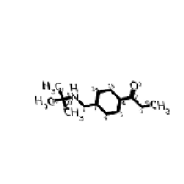 CCC(=O)C1CCC(CNC(C)(C)C)CC1